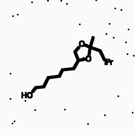 CC(C)CC1(C)OCC(CCCCCCO)O1